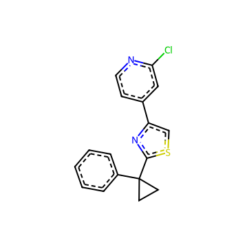 Clc1cc(-c2csc(C3(c4ccccc4)CC3)n2)ccn1